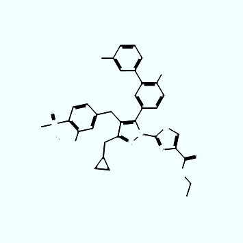 CCOC(=O)c1csc(-n2nc(CC3CC3)c(Cc3ccc([SH](C)(N)=O)c(F)c3)c2-c2ccc(F)c(-c3cccc(F)c3)c2)n1